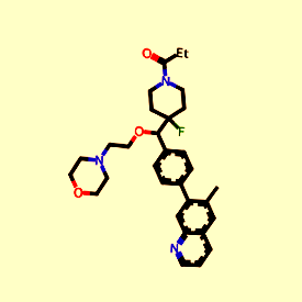 CCC(=O)N1CCC(F)(C(OCCN2CCOCC2)c2ccc(-c3cc4ncccc4cc3C)cc2)CC1